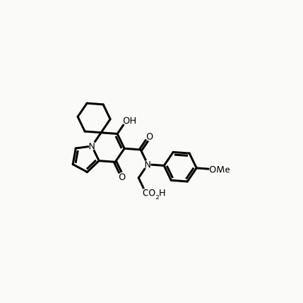 COc1ccc(N(CC(=O)O)C(=O)C2=C(O)C3(CCCCC3)n3cccc3C2=O)cc1